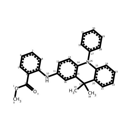 COC(=O)c1ccccc1Nc1ccc2c(c1)C(C)(C)c1ccccc1N2c1ccccc1